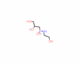 O=[PH](CC(O)CO)NCCO